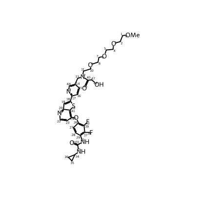 COCCOCCOCCOCCN(Cc1ccc(-c2cc3nccc(Oc4ccc(NC(=O)NC5CC5)c(F)c4F)c3s2)nc1)C(=O)CO